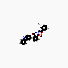 O=C(CN(CCOc1ccc2c(c1)[nH]c1ccccc12)C(=O)c1ccccc1)c1cccc([N+](=O)[O-])c1